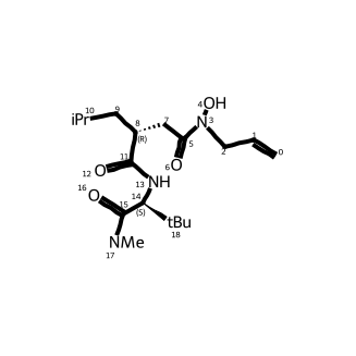 C=CCN(O)C(=O)C[C@@H](CC(C)C)C(=O)N[C@H](C(=O)NC)C(C)(C)C